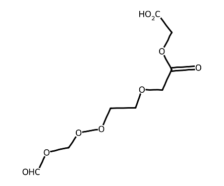 O=COCOOCCOCC(=O)OCC(=O)O